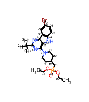 [2H]C([2H])([2H])c1nc(N2CCC(CP(=O)(OCC)OCC)CC2)c2[nH]c3ccc(Br)cc3c2n1